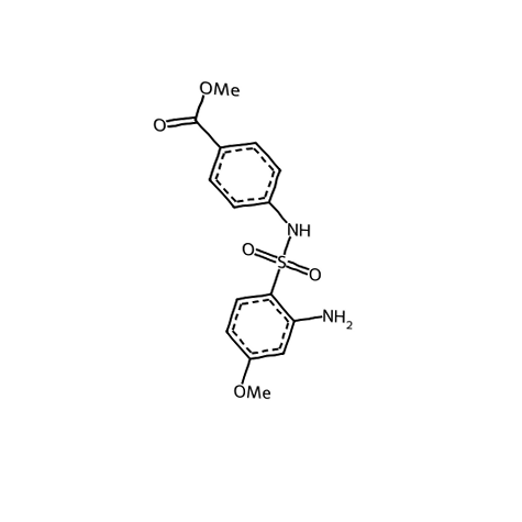 COC(=O)c1ccc(NS(=O)(=O)c2ccc(OC)cc2N)cc1